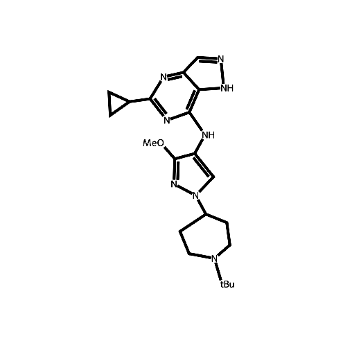 COc1nn(C2CCN(C(C)(C)C)CC2)cc1Nc1nc(C2CC2)nc2cn[nH]c12